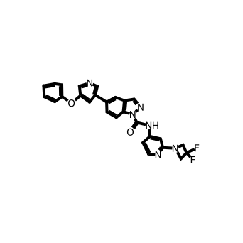 O=C(Nc1ccnc(N2CC(F)(F)C2)c1)n1ncc2cc(-c3cncc(Oc4ccccc4)c3)ccc21